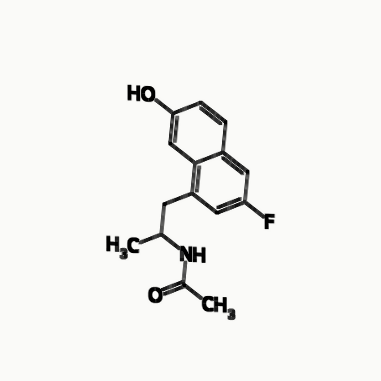 CC(=O)NC(C)Cc1cc(F)cc2ccc(O)cc12